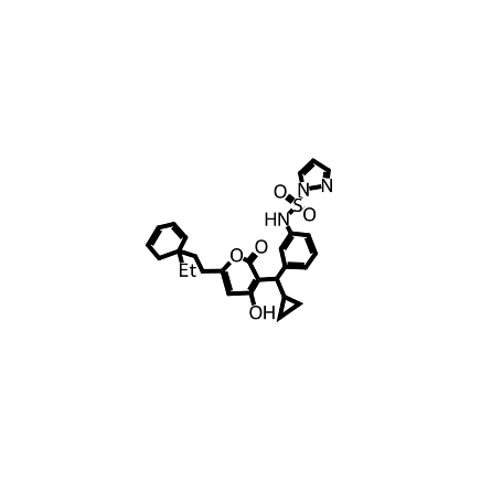 CCC1(CCc2cc(O)c(C(c3cccc(NS(=O)(=O)n4cccn4)c3)C3CC3)c(=O)o2)C=CC=CC1